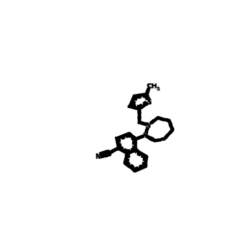 Cc1ccc(CN2CCCCCN2c2ccc(C#N)c3ccccc23)s1